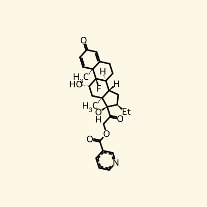 CC[C@@H]1C[C@H]2[C@@H]3CCC4=CC(=O)C=C[C@]4(C)[C@@]3(F)[C@@H](O)C[C@]2(C)[C@@]1(O)C(=O)COC(=O)c1cccnc1